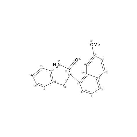 COc1ccc2cccc(C(Cc3ccccc3)C(N)=O)c2c1